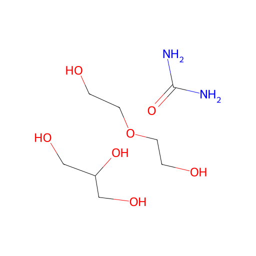 NC(N)=O.OCC(O)CO.OCCOCCO